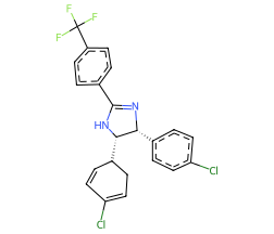 FC(F)(F)c1ccc(C2=N[C@H](c3ccc(Cl)cc3)[C@H](C3C=CC(Cl)=CC3)N2)cc1